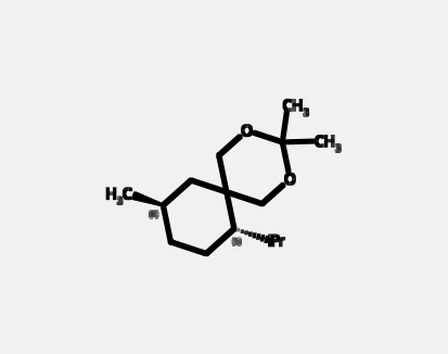 CC(C)[C@@H]1CC[C@@H](C)CC12COC(C)(C)OC2